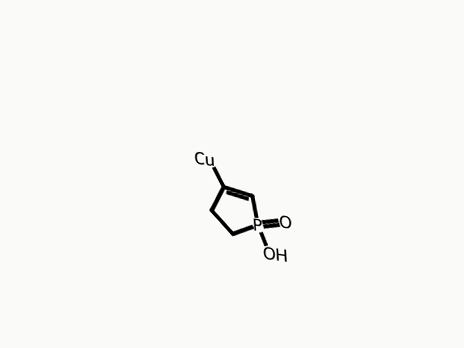 O=P1(O)C=[C]([Cu])CC1